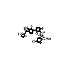 COc1ncc(Cl)cc1S(=O)(=O)Nc1c(F)ccc(-c2ccc3c(-c4ncc[nH]4)n[nH]c3c2F)c1F